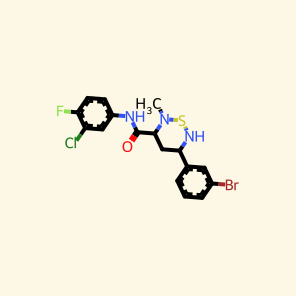 CN1SNC(c2cccc(Br)c2)CC1C(=O)Nc1ccc(F)c(Cl)c1